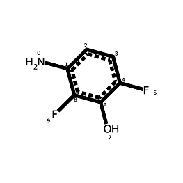 Nc1ccc(F)c(O)c1F